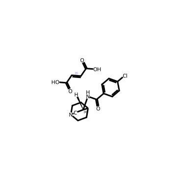 O=C(N[C@H]1CN2CCC1CC2)c1ccc(Cl)cc1.O=C(O)/C=C/C(=O)O